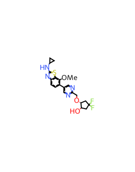 COc1c(-c2cnc(CO[C@@H]3CC(F)(F)C[C@H]3O)nc2)ccc2nc(NC3CC3)sc12